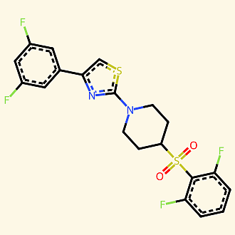 O=S(=O)(c1c(F)cccc1F)C1CCN(c2nc(-c3cc(F)cc(F)c3)cs2)CC1